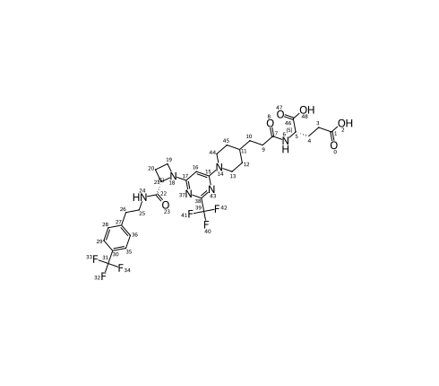 O=C(O)CC[C@H](NC(=O)CCC1CCN(c2cc(N3CC[C@H]3C(=O)NCCc3ccc(C(F)(F)F)cc3)nc(C(F)(F)F)n2)CC1)C(=O)O